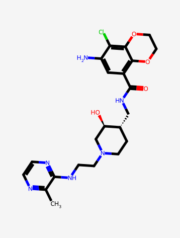 Cc1nccnc1NCCN1CC[C@@H](CNC(=O)c2cc(N)c(Cl)c3c2OCCO3)[C@H](O)C1